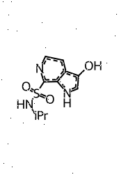 CC(C)NS(=O)(=O)c1nccc2c(O)c[nH]c12